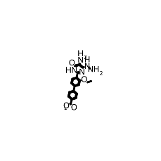 CCOc1cc(-c2ccc(C(=O)OC)cc2)ccc1-c1nc(NN)c(N)c(=O)[nH]1